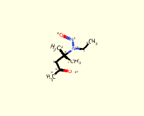 CCN(N=O)C(C)(C)CC(C)=O